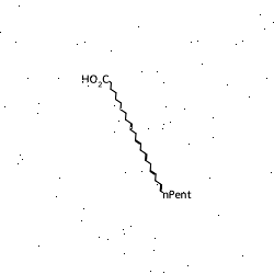 CCCCCC=CCC=CCC=CCC=CCC=CCCCCCCCCC(=O)O